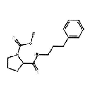 O=C(NCCCc1ccccc1)C1CCCN1C(=O)OF